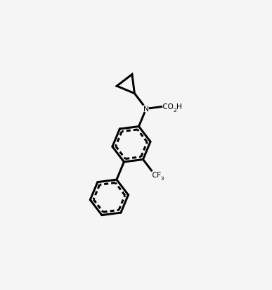 O=C(O)N(c1ccc(-c2ccccc2)c(C(F)(F)F)c1)C1CC1